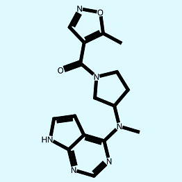 Cc1oncc1C(=O)N1CCC(N(C)c2ncnc3[nH]ccc23)C1